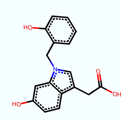 O=C(O)Cc1cn(Cc2ccccc2O)c2cc(O)ccc12